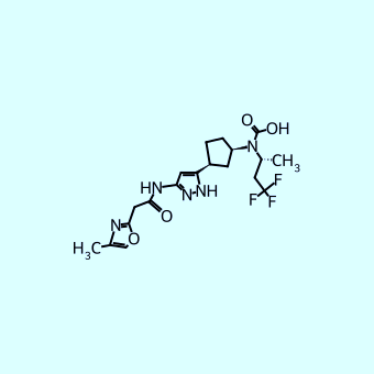 Cc1coc(CC(=O)Nc2cc([C@H]3CC[C@@H](N(C(=O)O)[C@H](C)CC(F)(F)F)C3)[nH]n2)n1